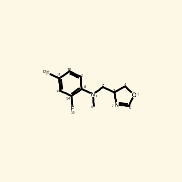 CN(CC1CO[C]=N1)c1ccc(F)cc1F